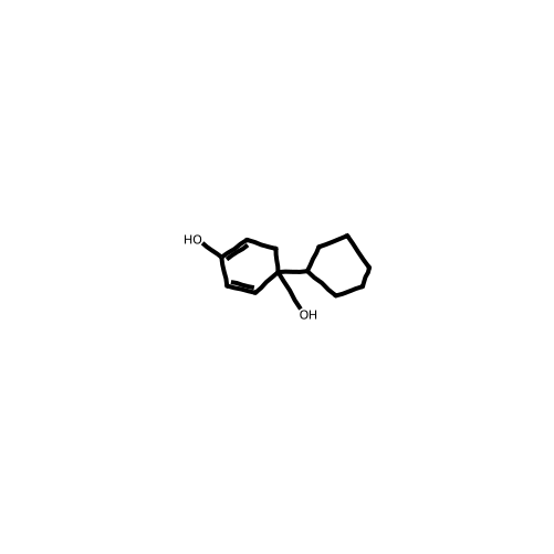 OC1=CCC(O)(C2CCCCC2)C=C1